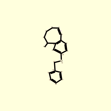 CC1CCC/C=C\c2ccc(OCc3ccccc3)cc21